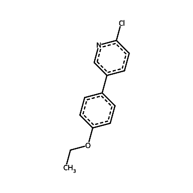 CCOc1ccc(-c2ccc(Cl)nc2)cc1